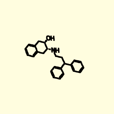 O[C@@H]1Cc2ccccc2C[C@H]1NCCC(c1ccccc1)c1ccccc1